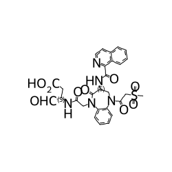 CS(=O)(=O)CC(=O)N1C[C@H](NC(=O)c2nccc3ccccc23)C(=O)N(CC(=O)N[C@H](C=O)CC(=O)O)c2ccccc21